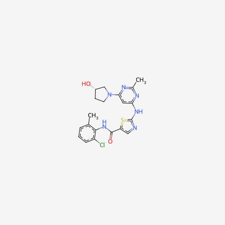 Cc1nc(Nc2ncc(C(=O)Nc3c(C)cccc3Cl)s2)cc(N2CC[C@H](O)C2)n1